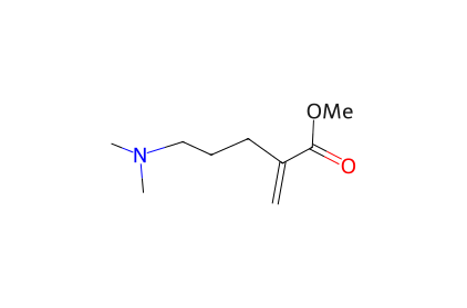 C=C(CCCN(C)C)C(=O)OC